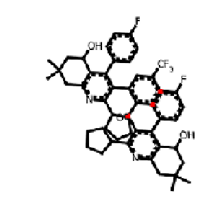 CC1(C)Cc2nc(C3CCCC3)c(C(=O)c3ccc(C(F)(F)F)cc3-c3c(C4CCCC4)nc4c(c3-c3ccc(F)cc3)C(O)CC(C)(C)C4)c(-c3ccc(F)cc3)c2C(O)C1